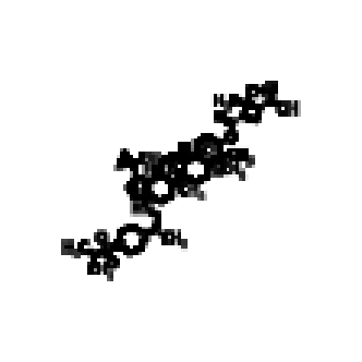 CC(C)S(=O)(=O)N1CCN([C@@H](C)CN[C@]23CC[C@@H](C4(C)CC4)[C@@H]2[C@H]2CC[C@@H]4[C@@]5(C)CC[C@H](OC(=O)[C@H]6C[C@@H](C(=O)O)C6(C)C)C(C)(C)[C@@H]5CC[C@@]4(C)[C@]2(C)CC3)CC1